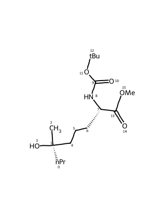 CCC[C@@](C)(O)CCC[C@H](NC(=O)OC(C)(C)C)C(=O)OC